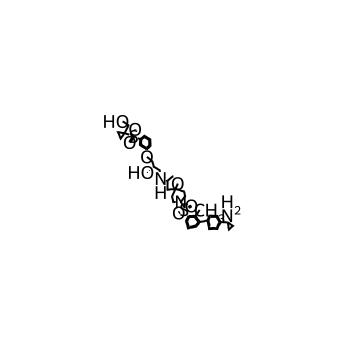 Cc1c(-c2ccc(C3(N)CC3)cc2)cccc1S(=O)(=O)N1CCC2(CC1)C[C@H](NC[C@H](O)COc1cccc(S(=O)(=O)C3(CO)CC3)c1)CO2